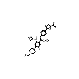 CN(c1cc(N2CCN(CC(F)(F)F)CC2)c(F)cc1N(C=O)Cc1ccc(-c2nnc(C(F)F)o2)cn1)C1COC1